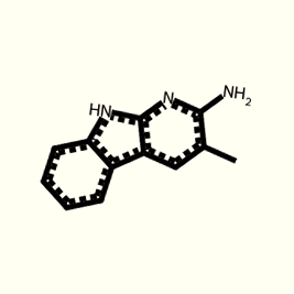 Cc1cc2c(nc1N)[nH]c1ccccc12